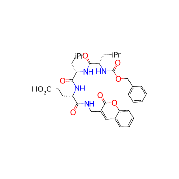 CC(C)C[C@H](NC(=O)OCc1ccccc1)C(=O)N[C@@H](CC(C)C)C(=O)N[C@@H](CCC(=O)O)C(=O)NCc1cc2ccccc2oc1=O